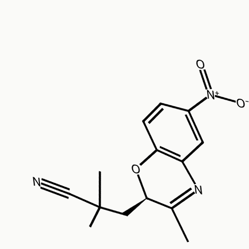 CC1=Nc2cc([N+](=O)[O-])ccc2O[C@@H]1CC(C)(C)C#N